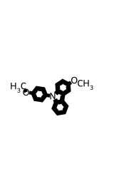 COc1ccc(-n2c3ccccc3c3cc(OC)ccc32)cc1